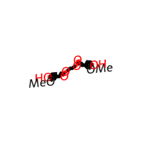 COc1cc(C=CC(=O)OCCCCOC(=O)C=Cc2ccc(O)c(OC)c2)ccc1O